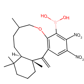 C=C1c2cc([N+](=O)[O-])c([N+](=O)[O-])c(B(O)O)c2OCC(C)CC[C@@H]2C(C)(C)CCC[C@@]12C